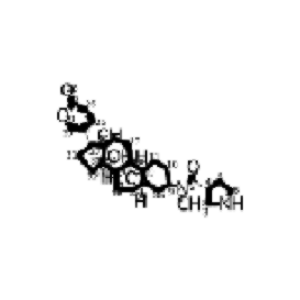 CN(C(=O)[C@@H]1CCNC1)[C@H]1CC[C@@]2(C)[C@H](CC[C@@H]3[C@@H]2CC[C@]2(C)[C@@H](c4ccc(=O)oc4)CC[C@]32O)C1